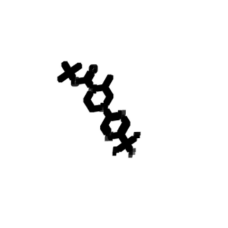 CC1CN(c2cnc(C(F)(F)F)cn2)CCN1C(=O)OC(C)(C)C